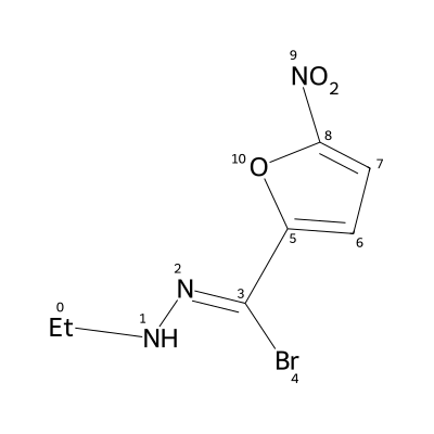 CCNN=C(Br)c1ccc([N+](=O)[O-])o1